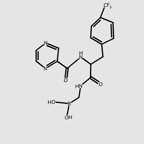 O=C(NC(Cc1ccc(C(F)(F)F)cc1)C(=O)NCB(O)O)c1cnccn1